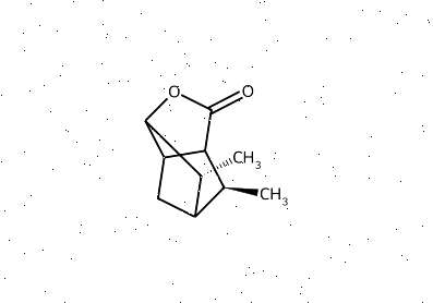 C[C@@H]1C2C(=O)OC3C2CC1[C@H]3C